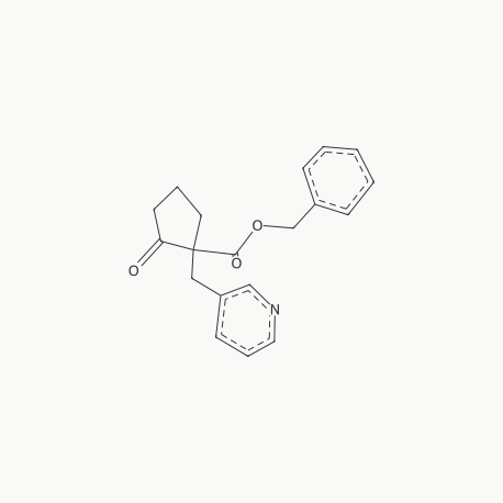 O=C1CCCC1(Cc1cccnc1)C(=O)OCc1ccccc1